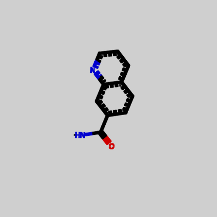 [NH]C(=O)c1ccc2cccnc2c1